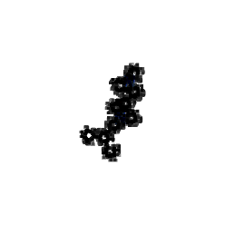 c1cccc(-c2cc(-c3ccccc3)cc(-c3ccc(N(c4ccccc4)c4ccccc4-c4cccc(-c5cccc6c5c5ccccc5n6-c5ccccc5)c4)cc3)c2)c#1